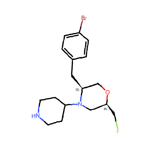 FC[C@H]1CN(C2CCNCC2)[C@@H](Cc2ccc(Br)cc2)CO1